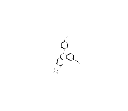 COc1ccc(N(Cc2ccc(OS(N)(=O)=O)cc2)c2ccc(C#N)cc2)cc1